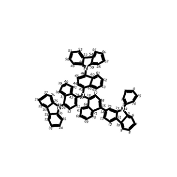 c1ccc(-n2c3ccccc3c3ccc(-c4ccc(N(c5ccc(-n6c7ccccc7c7ccccc76)c6ccccc56)c5ccc(-n6c7ccccc7c7ccccc76)c6ccccc56)c5ccccc45)cc32)cc1